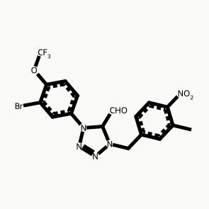 Cc1cc(CN2N=NN(c3ccc(OC(F)(F)F)c(Br)c3)C2C=O)ccc1[N+](=O)[O-]